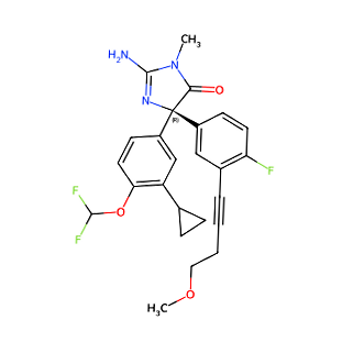 COCCC#Cc1cc([C@@]2(c3ccc(OC(F)F)c(C4CC4)c3)N=C(N)N(C)C2=O)ccc1F